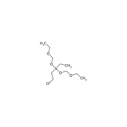 CCOCO[Si](CC)(CCCl)OCOCC